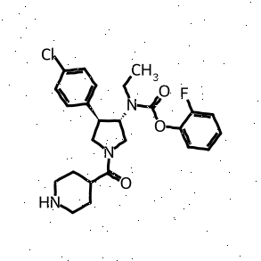 CCN(C(=O)Oc1ccccc1F)[C@@H]1CN(C(=O)C2CCNCC2)C[C@H]1c1ccc(Cl)cc1